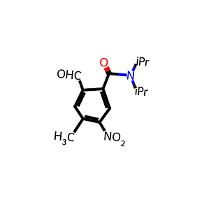 Cc1cc(C=O)c(C(=O)N(C(C)C)C(C)C)cc1[N+](=O)[O-]